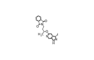 CC(CCN1C(=O)c2ccccc2C1=O)Oc1cc2c(I)n[nH]c2cn1